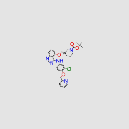 CC(C)(C)OC(=O)N1CCC[C@@H](COc2cccc3ncnc(Nc4ccc(OCc5ccccn5)c(Cl)c4)c23)C1